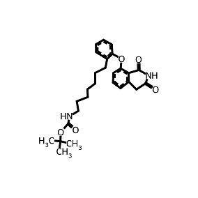 CC(C)(C)OC(=O)NCCCCCCCc1ccccc1Oc1cccc2c1C(=O)NC(=O)C2